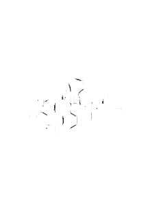 COc1ncc(C(N)=O)c(-c2c(Cl)ccc3c2C[C@@](CNC(=O)O)(c2ccccc2)O3)c1F